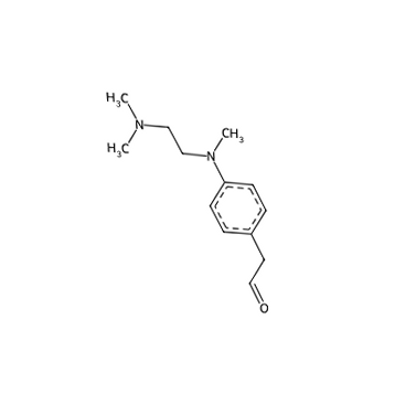 CN(C)CCN(C)c1ccc(CC=O)cc1